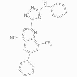 N#Cc1cc(-c2nnc(Nc3ccccc3)o2)nc2c(C(F)(F)F)cc(-c3ccccc3)cc12